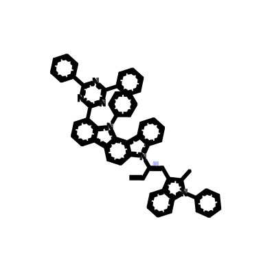 C=C/C(=C\c1c(C)n(-c2ccccc2)c2ccccc12)n1c2ccccc2c2c1ccc1c3cccc(-c4nc(-c5ccccc5)nc(-c5ccccc5)n4)c3n(-c3ccccc3)c12